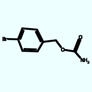 NC(=O)OCc1ccc(Br)cc1